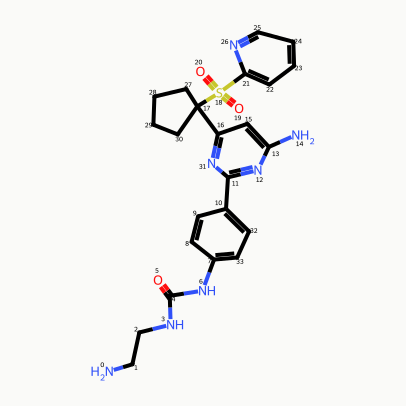 NCCNC(=O)Nc1ccc(-c2nc(N)cc(C3(S(=O)(=O)c4ccccn4)CCCC3)n2)cc1